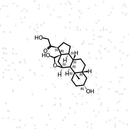 C[C@]12CC[C@@H](O)C[C@H]1CC[C@@H]1[C@@H]2[C@@H]2C[C@]3(C(O)O2)[C@@H](C(=O)CO)CC[C@@H]13